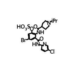 CC(C)N1CCC(C(=O)Nc2c(OS(=O)(=O)O)cc(Br)cc2C(=O)Nc2ccc(Cl)cn2)CC1